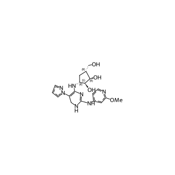 COc1cc(NC2=NC(N[C@@H]3C[C@H](CO)[C@@H](O)[C@H]3O)=C(n3cccn3)CN2)ccn1